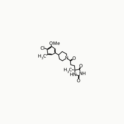 COc1cc(C2CCN(C(=O)CC[C@@]3(C)NC(=O)NC3=O)CC2)cc(C)c1Cl